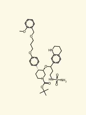 COc1ccccc1COCCCOc1ccc([C@H]2CCN(C(=O)OC(C)(C)C)C[C@@H]2OC(CCNS(N)(=O)=O)c2ccc3c(c2)NCCC3)cc1